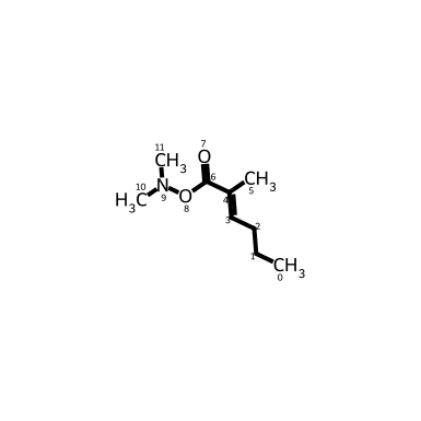 CCC/C=C(\C)C(=O)ON(C)C